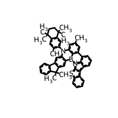 Cc1cc2c3c(c1)N(c1cc4c(cc1C)C(C)(C)CCC4(C)C)c1cc4c(cc1B3n1c3sc5ccccc5c3c3cccc-2c31)C(C)(C)c1ccccc1-4